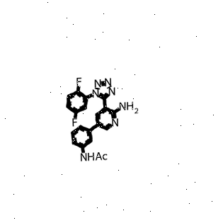 CC(=O)Nc1cccc(-c2cnc(N)c(-c3nnnn3-c3cc(F)ccc3F)c2)c1